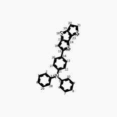 c1ccc(N(c2ccccc2)c2ccc(-c3cc4sc5ccsc5c4s3)cc2)cc1